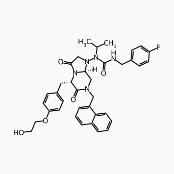 CC(C)N(C(=O)NCc1ccc(F)cc1)N1CC(=O)N2[C@@H](Cc3ccc(OCCO)cc3)C(=O)N(Cc3cccc4ccccc34)C[C@@H]21